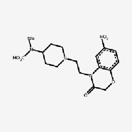 CC(C)(C)N(C(=O)O)C1CCN(CCN2C(=O)COc3ccc([N+](=O)[O-])cc32)CC1